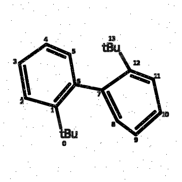 CC(C)(C)c1[c]cccc1-c1ccccc1C(C)(C)C